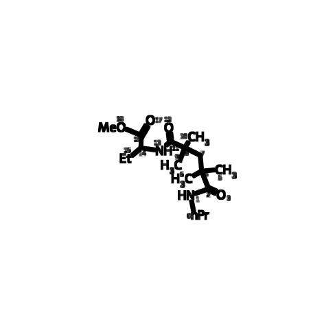 CCCNC(=O)C(C)(C)CC(C)(C)C(=O)NC(CC)C(=O)OC